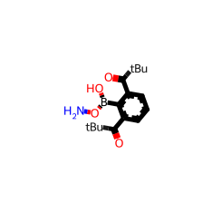 CC(C)(C)C(=O)c1cccc(C(=O)C(C)(C)C)c1B(O)ON